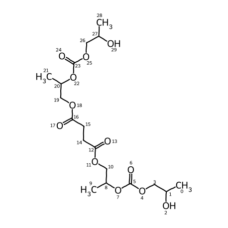 CC(O)COC(=O)OC(C)COC(=O)CCC(=O)OCC(C)OC(=O)OCC(C)O